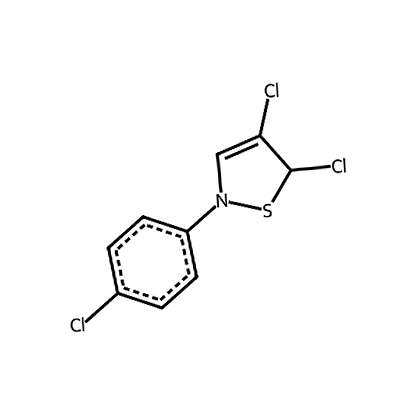 ClC1=CN(c2ccc(Cl)cc2)SC1Cl